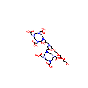 COCCOCCOCCOCCN(CC(O)CN1CCN(CC(=O)O)CCN(CC(=O)O)CCN(CC(=O)O)CC1)CC(O)CN1CCN(CC(=O)O)CCN(CC(=O)O)CCN(CC(=O)O)CC1